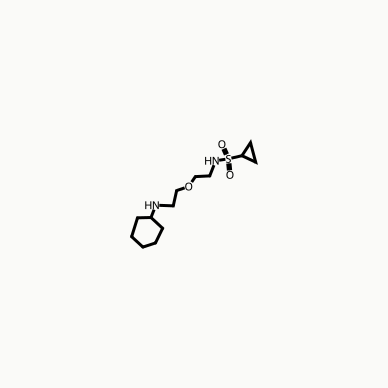 O=S(=O)(NCCOCCNC1CCCCC1)C1CC1